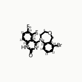 O=c1nc(N2CCOCc3c(Br)cccc32)c2c(F)c(F)ccc2[nH]1